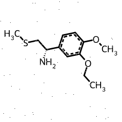 CCOc1cc([C@H](N)CSC)ccc1OC